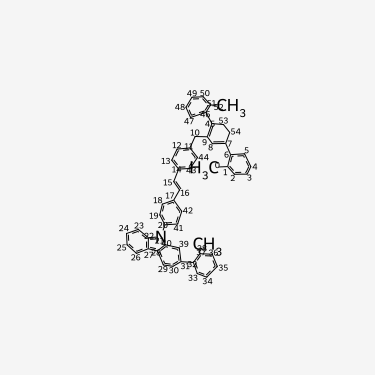 Cc1ccccc1C1=CC(Cc2ccc(/C=C/c3ccc(-n4c5ccccc5c5ccc(-c6ccccc6C)cc54)cc3)cc2)=C(c2ccccc2C)CC1